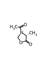 CC(=O)N1COC(=O)[C@H]1C